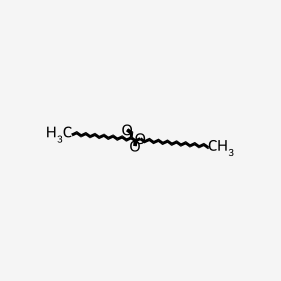 CCCCCCCCCCCCCCCCOC(=O)C(C=O)CCCCCCCCCCCCCC